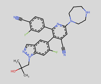 CC(C)(O)Cn1ncc2cc(-c3c(C#N)cc(N4CCCNCC4)nc3-c3ccc(C#N)c(F)c3)c(F)cc21